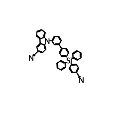 N#Cc1ccc([Si](c2ccccc2)(c2ccccc2)c2ccc(-c3cccc(-n4c5ccccc5c5cc(C#N)ccc54)c3)cc2)cc1